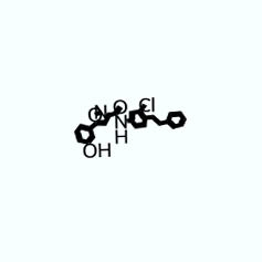 O=C(Nc1ccc(CCc2ccccc2)c(Cl)c1)c1cc(-c2cccc(O)c2)on1